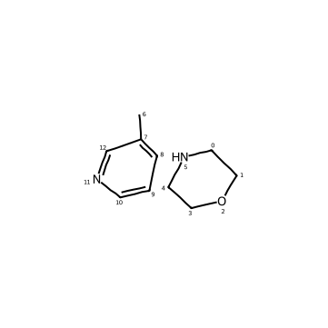 C1COCCN1.Cc1cccnc1